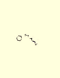 CC(C)(OC1CCCCC1)C(=O)NC(=N)/C=C(\O)C(C)(C)C